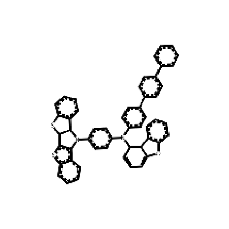 C1=CC(N(c2ccc(-c3ccc(-c4ccccc4)cc3)cc2)c2ccc(N3c4c(sc5ccccc45)C4Sc5ccccc5C43)cc2)C2C(=C1)Oc1ccccc12